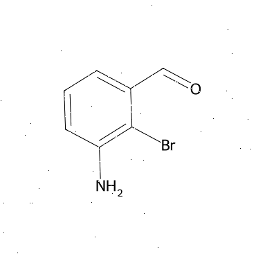 Nc1cccc(C=O)c1Br